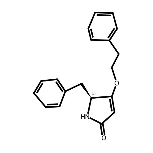 O=C1C=C(OCCc2ccccc2)[C@H](Cc2ccccc2)N1